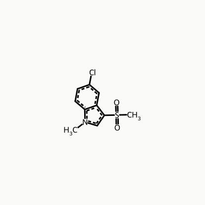 Cn1cc(S(C)(=O)=O)c2cc(Cl)ccc21